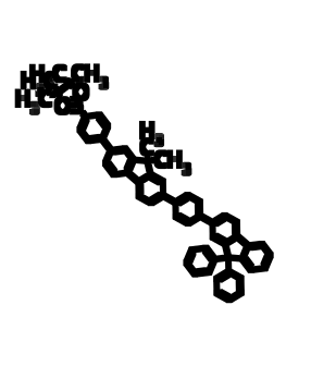 CC1(C)c2cc(-c3ccc(B4OC(C)(C)C(C)(C)O4)cc3)ccc2-c2ccc(-c3ccc(-c4ccc5c(c4)C(c4ccccc4)(c4ccccc4)c4ccccc4-5)cc3)cc21